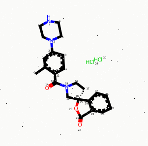 Cc1cc(N2CCNCC2)ccc1C(=O)N1CC[C@@]2(C1)OC(=O)c1ccccc12.Cl.Cl